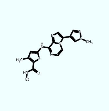 CCNC(=O)c1sc(Nc2nccn3c(-c4cnn(C)c4)cnc23)cc1C